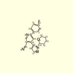 N#Cc1cnc(-c2ccc(F)cc2)cc1-c1ccnn1C1CCCCO1